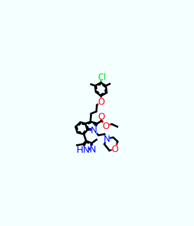 CCOC(=O)c1c(CCCOc2cc(C)c(Cl)c(C)c2)c2cccc(-c3c(C)n[nH]c3C)c2n1CCN1CCOCC1